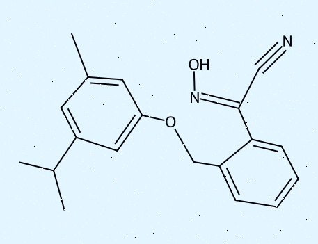 Cc1cc(OCc2ccccc2C(C#N)=NO)cc(C(C)C)c1